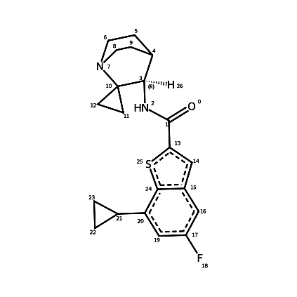 O=C(N[C@@H]1C2CCN(CC2)C12CC2)c1cc2cc(F)cc(C3CC3)c2s1